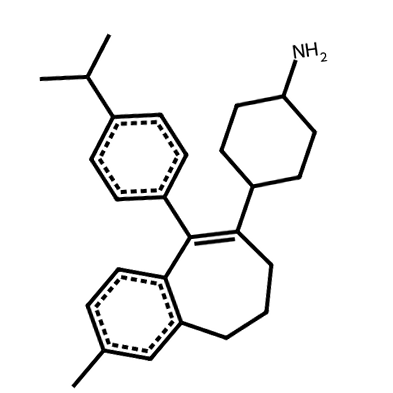 Cc1ccc2c(c1)CCCC(C1CCC(N)CC1)=C2c1ccc(C(C)C)cc1